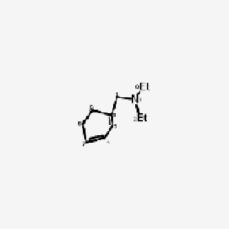 CCN(CC)CC1=CC=CC[CH]1